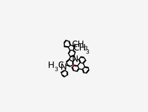 CN(c1ccccc1)c1ccc2c(c1)c1cc3c(cc1n2-c1cccc2c4ccccc4c4ccccc4c12)C(C)(C)c1ccccc1-3